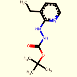 CCc1cccnc1NNC(=O)OC(C)(C)C